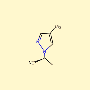 C[C@@H](C#N)n1cc(C(C)(C)C)cn1